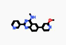 CNc1nc(-c2cccnc2)nc2ccc(-c3ccnc(OC)c3)cc12